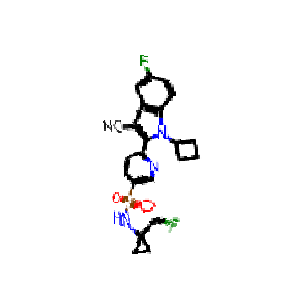 N#Cc1c(-c2ccc(S(=O)(=O)NC3(CF)CC3)cn2)n(C2CCC2)c2ccc(F)cc12